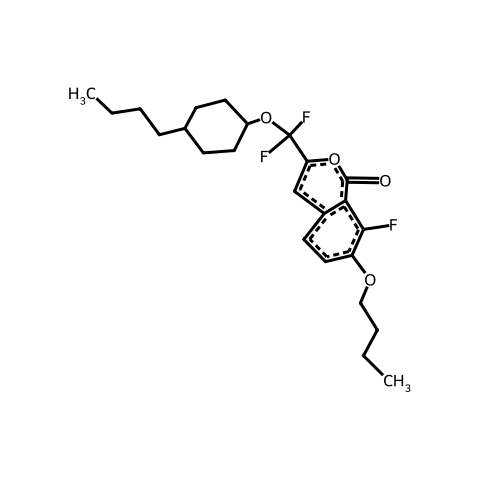 CCCCOc1ccc2cc(C(F)(F)OC3CCC(CCCC)CC3)oc(=O)c2c1F